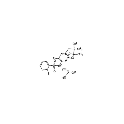 CC(C)(O)C(C)(O)Cc1ccc(NS(=O)(=O)c2ccccc2F)c(F)c1.OB(O)O